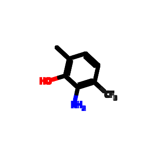 Cc1ccc(C(F)(F)F)c(N)c1O